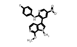 COc1nccc2c(-c3cc([N+](=O)[O-])cnc3Nc3ccc(F)cc3)cn(C)c12